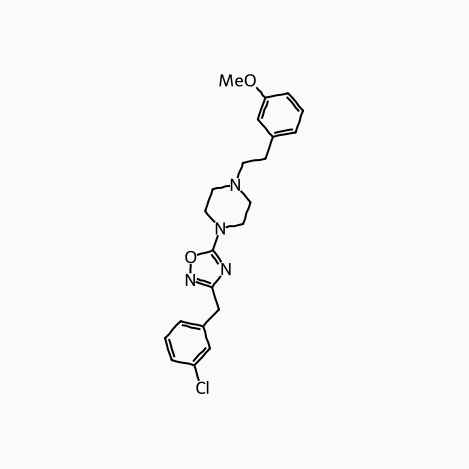 COc1cccc(CCN2CCN(c3nc(Cc4cccc(Cl)c4)no3)CC2)c1